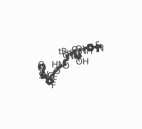 Cc1ncsc1-c1ccc([C@H](C)NC(=O)[C@@H]2C[C@@H](O)CN2C(=O)[C@@H](NC(=O)CCC(=O)NCCOCCOc2c(-c3csc(N4CCOCC4)n3)ccc(F)c2F)C(C)(C)C)cc1